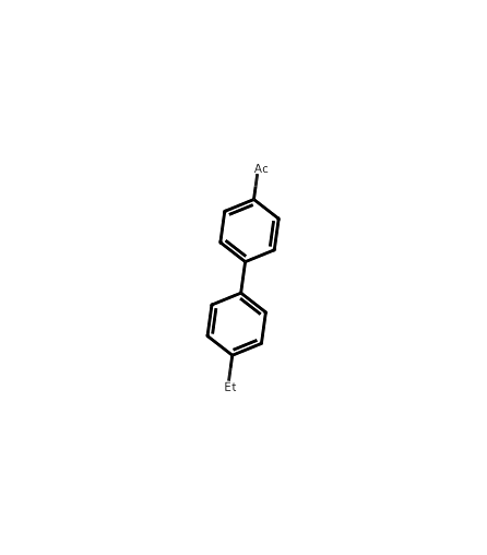 CCc1ccc(-c2ccc(C(C)=O)cc2)cc1